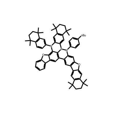 CCCCc1ccc(N2B3c4cc5c(cc4N(c4ccc6c(c4)C(C)(C)CCC6(C)C)c4c3c(cc3c4oc4ccccc43)-c3cc4c(cc32)oc2cc3c(cc24)C(C)(C)CCC3(C)C)C(C)(C)CCC5(C)C)cc1